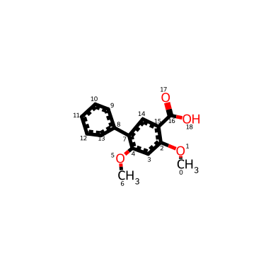 COc1cc(OC)c(-c2ccccc2)cc1C(=O)O